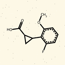 COc1cccc(F)c1C1CC1C(=O)O